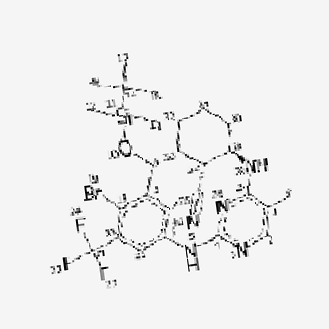 Cc1cnc(Nc2cc(CO[Si](C)(C)C(C)(C)C)c(Br)c(C(F)(F)F)c2)nc1N[C@@H]1CCCC[C@H]1C#N